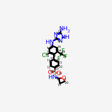 Nc1nc(Nc2cc(Cl)c(-c3ccc(S(=O)(=O)NC4CCO4)cc3)c(C(F)(F)F)c2)n[nH]1